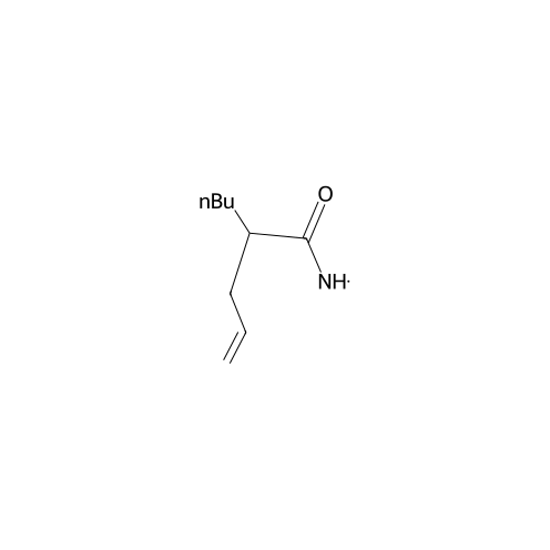 C=CCC(CCCC)C([NH])=O